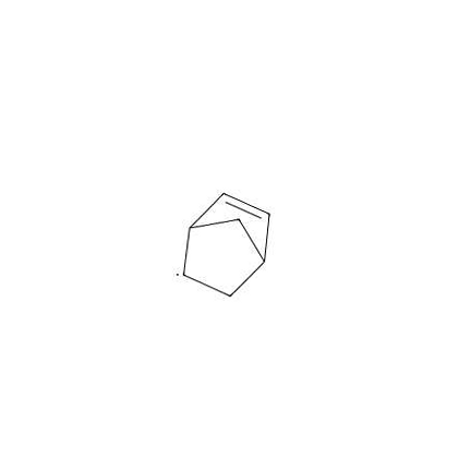 [CH]1CC2C=CC1C2